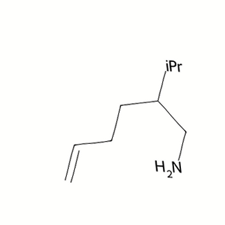 C=CCCC(CN)C(C)C